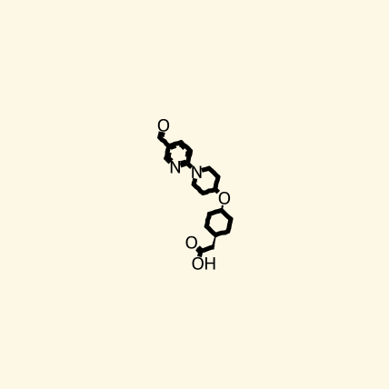 O=Cc1ccc(N2CCC(O[C@H]3CC[C@H](CC(=O)O)CC3)CC2)nc1